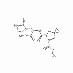 COC(=O)[C@H](C[C@@H]1CCNC1=O)NC(=O)[C@@H]1CC2(CC2)CN1C(=O)OC(C)(C)C